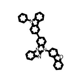 c1ccc(-n2c3ccccc3c3cc(-c4ccc5c(c4)n4c6ccccc6nc4n5-c4ccc5oc6ccccc6c5c4)ccc32)cc1